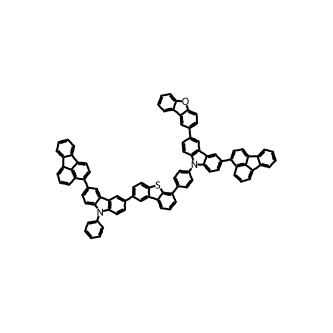 c1ccc(-n2c3ccc(-c4ccc5sc6c(-c7ccc(-n8c9ccc(-c%10ccc%11oc%12ccccc%12c%11c%10)cc9c9cc(-c%10ccc%11c%12c(cccc%10%12)-c%10ccccc%10-%11)ccc98)cc7)cccc6c5c4)cc3c3cc(-c4ccc5c6c(cccc46)-c4ccccc4-5)ccc32)cc1